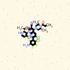 C=CC(=O)N1[C@H](C)CN(c2c(C#N)c(=O)n(C3=C(C)C=CN[C@@H]3C(C)C)c3nc(-c4c(F)c(N)c(F)c(F)c4Cl)c(Cl)cc23)C[C@@H]1C